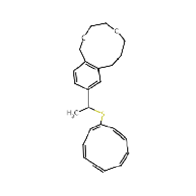 CC(Sc1ccccccccc1)c1ccc2c(c1)CCCCCCCC2